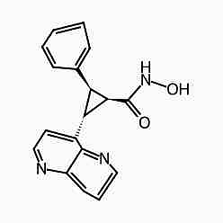 O=C(NO)[C@@H]1[C@H](c2ccccc2)[C@H]1c1ccnc2cccnc12